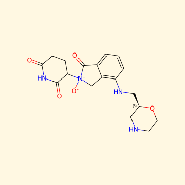 O=C1CCC([N+]2([O-])Cc3c(NC[C@@H]4CNCCO4)cccc3C2=O)C(=O)N1